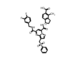 Cc1c(C(=O)O)ccc2c1CC[C@@H]2NC(=O)c1cc(C(=O)NCc2ccc(F)c(F)c2)nc2c(CS(=O)(=O)c3ccccc3)cnn12